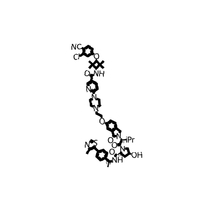 Cc1ncsc1-c1ccc([C@H](C)NC(=O)[C@@H]2CC(O)CN2C(=O)[C@H](C(C)C)N2Cc3ccc(OCCN4CCN(c5ccc(C(=O)N[C@H]6C(C)(C)[C@H](Oc7ccc(C#N)c(Cl)c7)C6(C)C)cn5)CC4)cc3C2=O)cc1